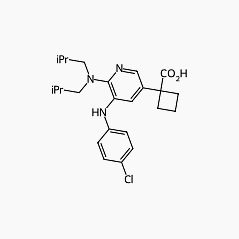 CC(C)CN(CC(C)C)c1ncc(C2(C(=O)O)CCC2)cc1Nc1ccc(Cl)cc1